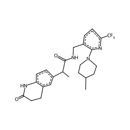 CC1CCN(c2nc(C(F)(F)F)ccc2CNC(=O)C(C)c2ccc3c(c2)CCC(=O)N3)CC1